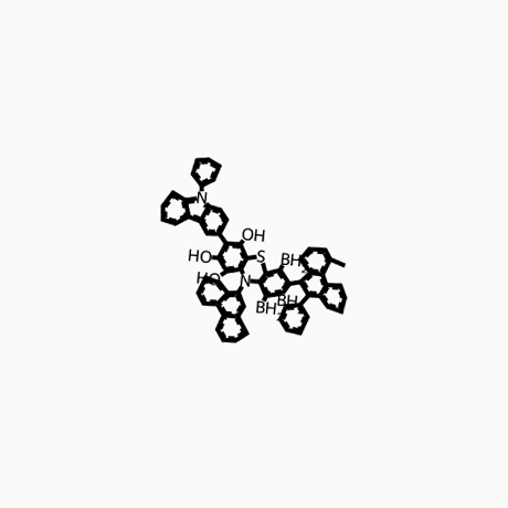 Bc1c(B)c2c(c(B)c1-c1c(-c3ccccc3)c3ccccc3c3c(C)cccc13)Sc1c(O)c(-c3ccc4c(c3)c3ccccc3n4-c3ccccc3)c(O)c(O)c1N2c1cc2ccccc2c2ccccc12